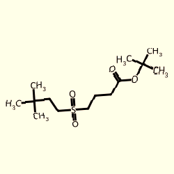 CC(C)(C)CCS(=O)(=O)CCCC(=O)OC(C)(C)C